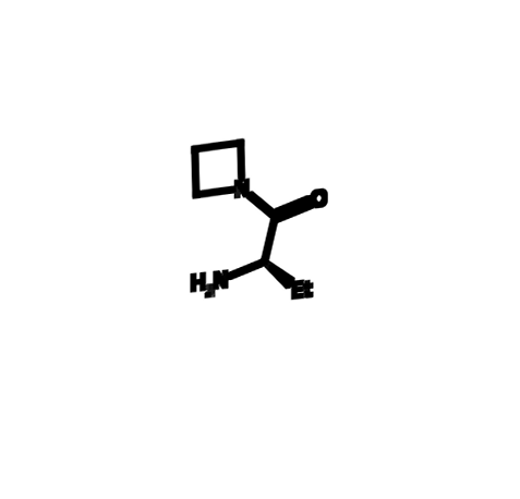 CC[C@@H](N)C(=O)N1CCC1